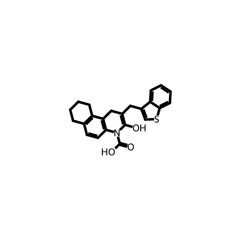 O=C(O)N1C(O)=C(Cc2csc3ccccc23)Cc2c1ccc1c2CCCC1